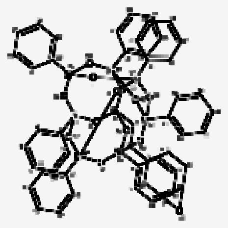 c1ccc([Si]23O[Si]4(CCC5CCC6OC6C5)O[Si]5(c6ccccc6)O[Si](c6ccccc6)(O2)O[Si]2(c6ccccc6)O[Si](c6ccccc6)(O3)O[Si](c3ccccc3)(O4)O[Si](c3ccccc3)(O5)O2)cc1